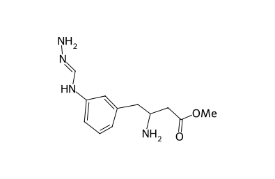 COC(=O)CC(N)Cc1cccc(NC=NN)c1